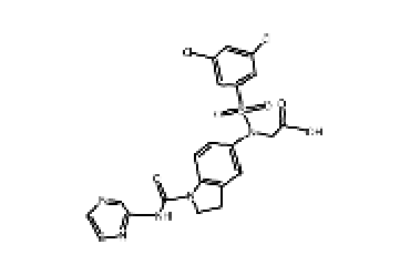 O=C(O)CN(c1ccc2c(c1)CCN2C(=O)Nc1cnccn1)S(=O)(=O)c1cc(Cl)cc(Cl)c1